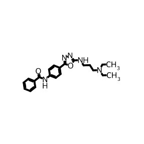 CCN(CC)CCCNc1nnc(-c2ccc(NC(=O)c3ccccc3)cc2)o1